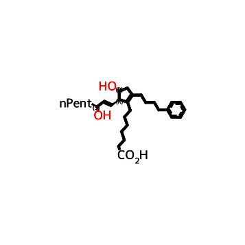 CCCCC[C@H](O)C=C[C@@H]1C(CCCCCCC(=O)O)=C(CCCCc2ccccc2)C[C@H]1O